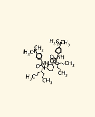 CCCC(CCC)N(C(=O)Nc1ccc(N(C)C)cc1)C1CCCC(C)(N(C(=O)Nc2ccc(N(C)C)cc2)C(CCC)CCC)C1